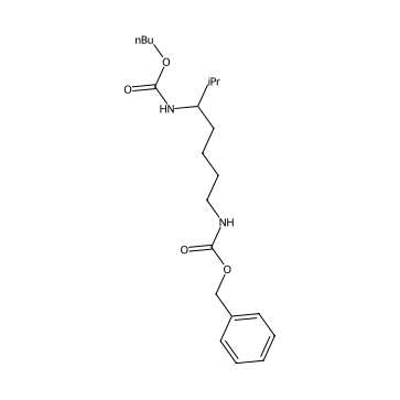 CCCCOC(=O)NC(CCCCNC(=O)OCc1ccccc1)C(C)C